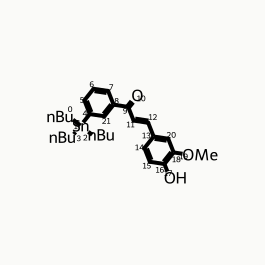 CCC[CH2][Sn]([CH2]CCC)([CH2]CCC)[c]1cccc(C(=O)C=Cc2ccc(O)c(OC)c2)c1